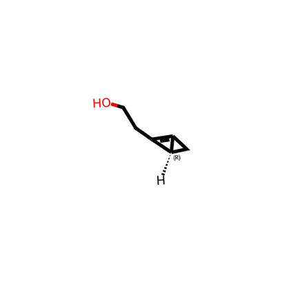 OCCC1=C2C[C@@H]12